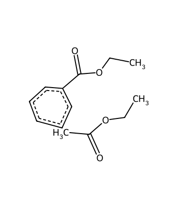 CCOC(=O)c1ccccc1.CCOC(C)=O